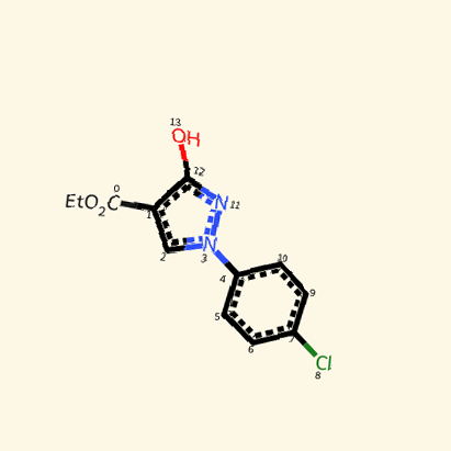 CCOC(=O)c1cn(-c2ccc(Cl)cc2)nc1O